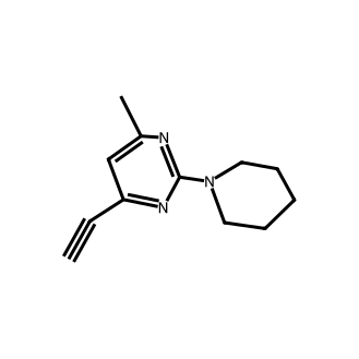 C#Cc1cc(C)nc(N2CCCCC2)n1